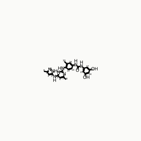 Cc1cc(Nc2cc(C)nc(Nc3ccc(NC(=O)Nc4cc(O)cc(O)c4)cc3C)n2)[nH]n1